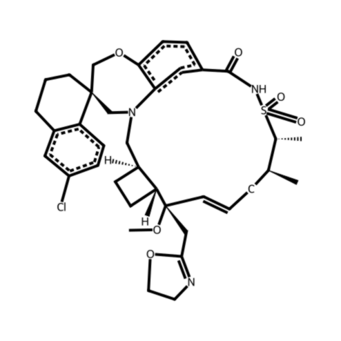 CO[C@@]1(CC2=NCCO2)/C=C/C[C@H](C)[C@@H](C)S(=O)(=O)NC(=O)c2ccc3c(c2)N(C[C@@H]2CC[C@H]21)C[C@@]1(CCCc2cc(Cl)ccc21)CO3